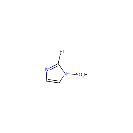 CCc1nccn1S(=O)(=O)O